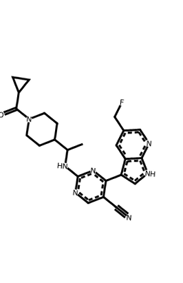 CC(Nc1ncc(C#N)c(-c2c[nH]c3ncc(CF)cc23)n1)C1CCN(C(=O)C2CC2)CC1